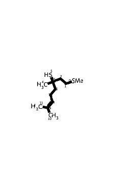 CSCCC(C)(S)CCC=C(C)C